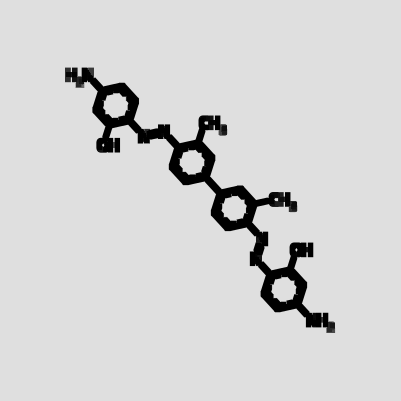 Cc1cc(-c2ccc(/N=N/c3ccc(N)cc3O)c(C)c2)ccc1/N=N/c1ccc(N)cc1O